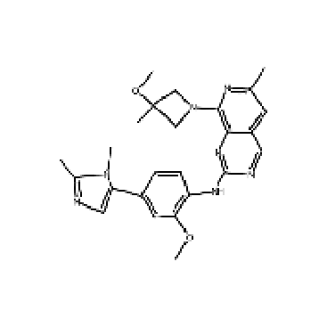 COc1cc(-c2cnc(C)n2C)ccc1Nc1ncc2cc(C)nc(N3CC(C)(OC)C3)c2n1